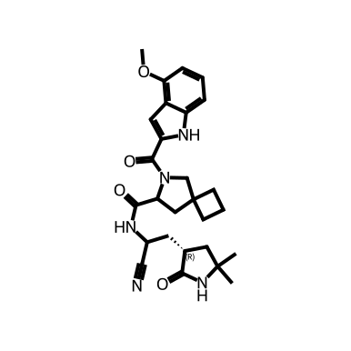 COc1cccc2[nH]c(C(=O)N3CC4(CCC4)CC3C(=O)NC(C#N)C[C@@H]3CC(C)(C)NC3=O)cc12